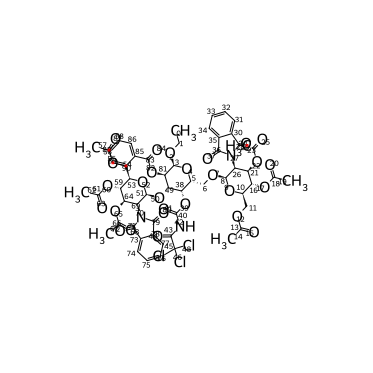 CCO[C@H]1O[C@H](CO[C@@H]2O[C@H](COC(C)=O)[C@@H](OC(C)=O)[C@H](OC(C)=O)[C@@H]2N2C(=O)c3ccccc3C2=O)[C@H](OC(=O)NC(=O)C(Cl)(Cl)Cl)[C@H](O[C@@H]2O[C@H](COC(C)=O)[C@@H](OC(C)=O)[C@H](OC(C)=O)[C@@H]2N2C(=O)c3ccccc3C2=O)[C@H]1OC(=O)c1ccccc1